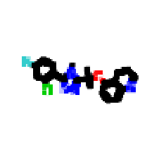 Cn1c(-c2ccc(F)cc2Cl)nnc1C(C)(C)Oc1cccc2ncccc12